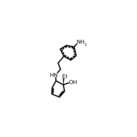 CC[C@@]1(O)C=CC=CC1NCCc1ccc(N)cc1